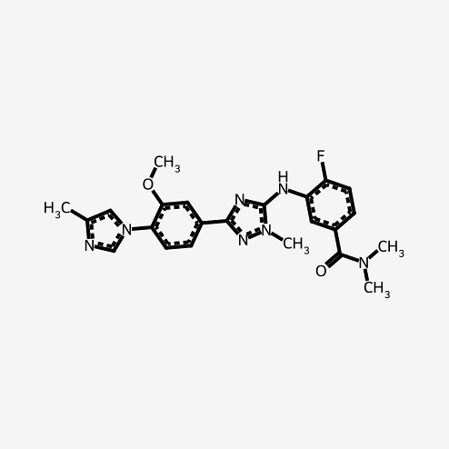 COc1cc(-c2nc(Nc3cc(C(=O)N(C)C)ccc3F)n(C)n2)ccc1-n1cnc(C)c1